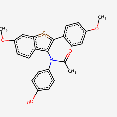 COc1ccc(-c2sc3cc(OC)ccc3c2N(C(C)=O)c2ccc(O)cc2)cc1